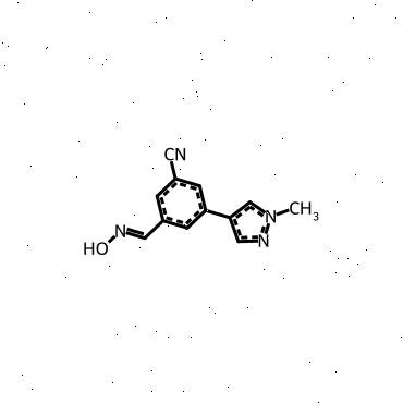 Cn1cc(-c2cc(C#N)cc(C=NO)c2)cn1